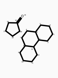 C1CCC2C(C1)CCC1CCCCC12.O=C1CCCC1